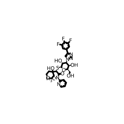 CN(C(=O)[C@@H](S[C@@H]1O[C@H](CO)[C@H](O)[C@H](n2cc(-c3cc(F)c(F)c(F)c3)nn2)[C@H]1O)C1(O)CCOCC1)c1ccccn1